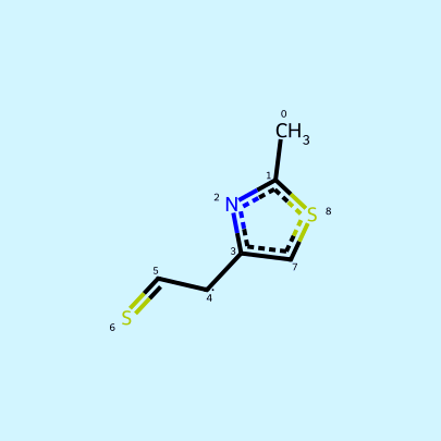 Cc1nc([CH]C=S)cs1